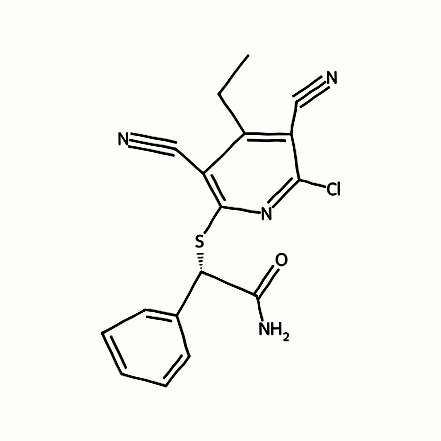 CCc1c(C#N)c(Cl)nc(S[C@H](C(N)=O)c2ccccc2)c1C#N